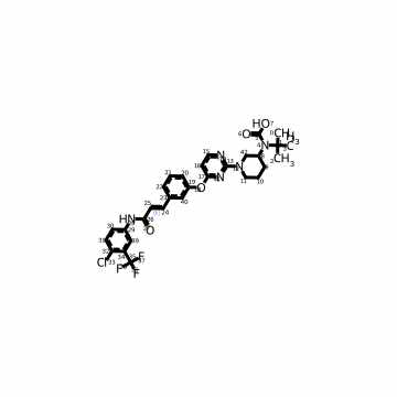 CC(C)(C)N(C(=O)O)C1CCCN(c2nccc(Oc3cccc(/C=C/C(=O)Nc4ccc(Cl)c(C(F)(F)F)c4)c3)n2)C1